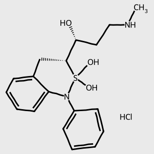 CNCC[C@@H](O)[C@H]1Cc2ccccc2N(c2ccccc2)S1(O)O.Cl